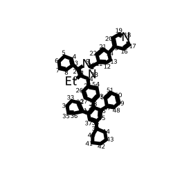 CCc1c(C2=CCCC=C2)nc(C2=CCC(c3ccncc3)C=C2)nc1-c1ccc(-c2c(C3=CCCC=C3)cc(C3CCCCC3)cc2-c2ccccc2)cc1